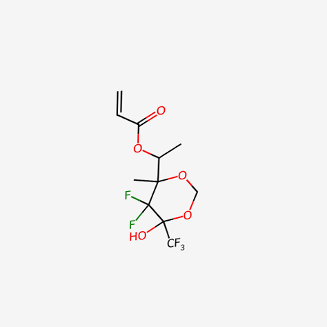 C=CC(=O)OC(C)C1(C)OCOC(O)(C(F)(F)F)C1(F)F